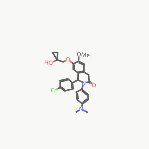 COc1cc2c(cc1OCC1(O)CC1)C(c1ccc(Cl)cc1)N(c1ccc(N(C)C)cc1)C(=O)C2